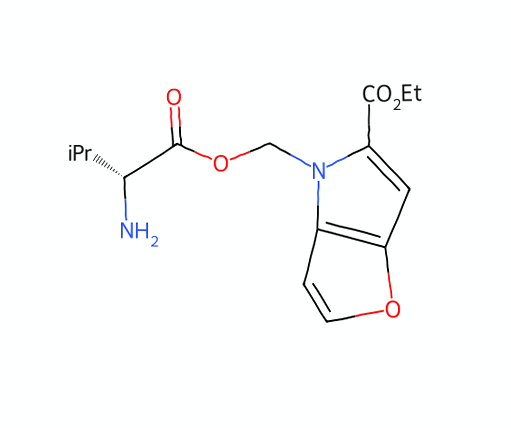 CCOC(=O)c1cc2occc2n1COC(=O)[C@H](N)C(C)C